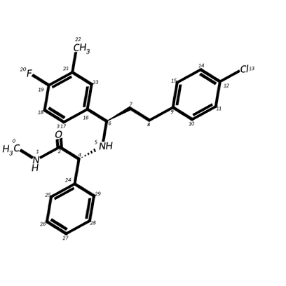 CNC(=O)[C@H](N[C@H](CCc1ccc(Cl)cc1)c1ccc(F)c(C)c1)c1ccccc1